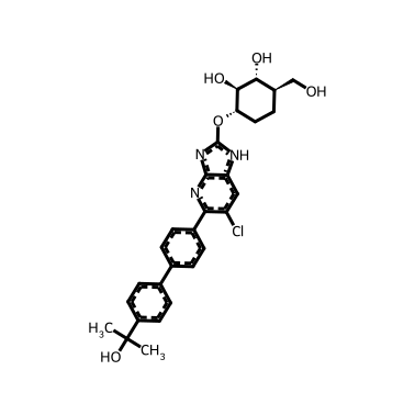 CC(C)(O)c1ccc(-c2ccc(-c3nc4nc(O[C@H]5CC[C@H](CO)[C@@H](O)[C@@H]5O)[nH]c4cc3Cl)cc2)cc1